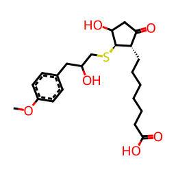 COc1ccc(CC(O)CS[C@H]2C(O)CC(=O)[C@@H]2CCCCCCC(=O)O)cc1